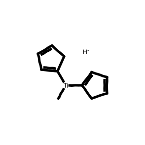 [CH3][Ti]([C]1=CC=CC1)[C]1=CC=CC1.[H-]